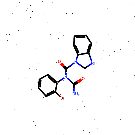 NC(=O)N(C(=O)N1CNc2ccccc21)c1ccccc1Br